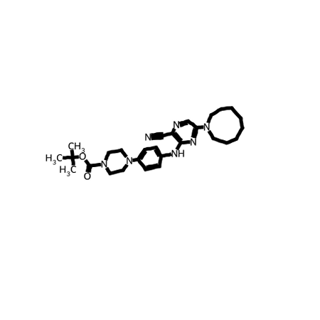 CC(C)(C)OC(=O)N1CCN(c2ccc(Nc3nc(N4CCCCCCCC4)cnc3C#N)cc2)CC1